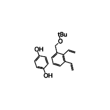 C=Cc1cccc(COC(C)(C)C)c1C=C.Oc1ccc(O)cc1